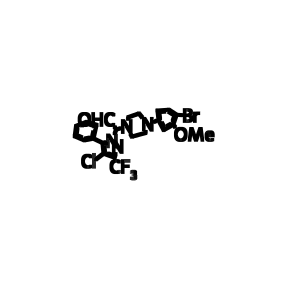 COc1cc(N2CCN(C(C=O)n3nc(C(F)(F)F)c(Cl)c3-c3ccccc3)CC2)ccc1Br